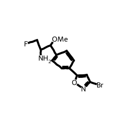 COC(c1ccc(-c2cc(Br)no2)cc1)C(N)CF